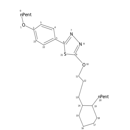 CCCCCOc1ccc(-c2nnc(OCCCC3CCCCC3CCCCC)s2)cc1